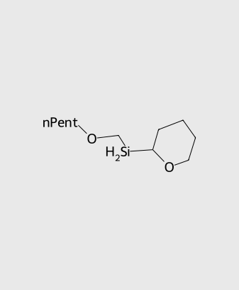 CCCCCOC[SiH2]C1CCCCO1